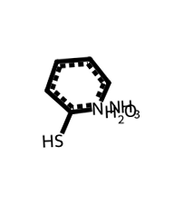 N.O.Sc1ccccn1